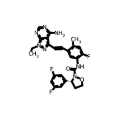 CCn1nc(C#Cc2cc(NC(=O)N3OCC[C@@H]3c3cc(F)cc(F)c3)c(F)cc2C)c2c(N)ncnc21